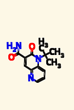 CC(C)(C)n1c(=O)c(C(N)=O)cc2ncccc21